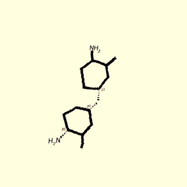 CC1C[C@H](C[C@H]2CC[C@@H](N)C(C)C2)CCC1N